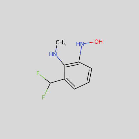 CNc1c(NO)cccc1C(F)F